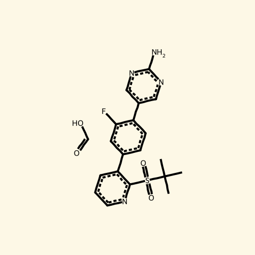 CC(C)(C)S(=O)(=O)c1ncccc1-c1ccc(-c2cnc(N)nc2)c(F)c1.O=CO